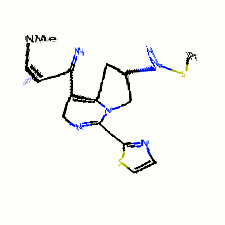 CN/C=C\C(=N)C1=C2CC(NSC(C)C)CN2C(c2nccs2)=NC1